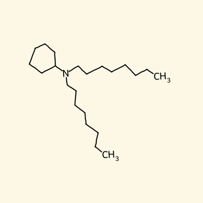 CCCCCCCCN(CCCCCCCC)C1CCCCC1